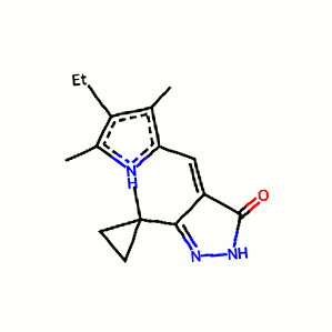 CCc1c(C)[nH]c(/C=C2/C(=O)NN=C2C2(C)CC2)c1C